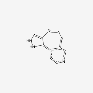 C1=NC2=CNNC2=c2ccncc2=N1